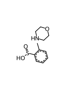 C1COCCN1.Cc1ccccc1S(=O)O